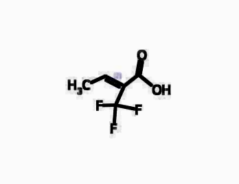 C/C=C(/C(=O)O)C(F)(F)F